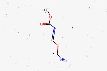 COC(=O)N=COCN